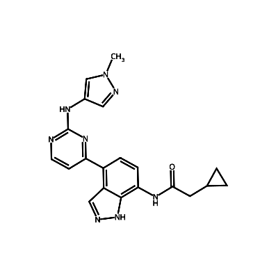 Cn1cc(Nc2nccc(-c3ccc(NC(=O)CC4CC4)c4[nH]ncc34)n2)cn1